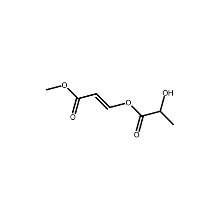 COC(=O)C=COC(=O)C(C)O